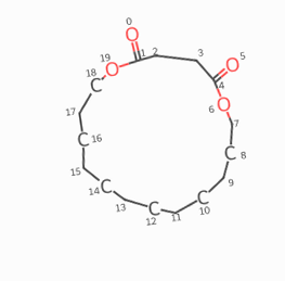 O=C1CCC(=O)OCCCCCCCCCCCCO1